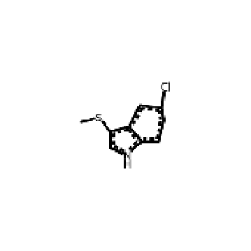 CSc1c[nH]c2ccc(Cl)cc12